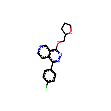 Clc1ccc(-c2nnc(OCC3CCCO3)c3cnccc23)cc1